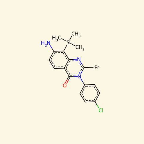 CC(C)c1nc2c([Si](C)(C)C)c(N)ccc2c(=O)n1-c1ccc(Cl)cc1